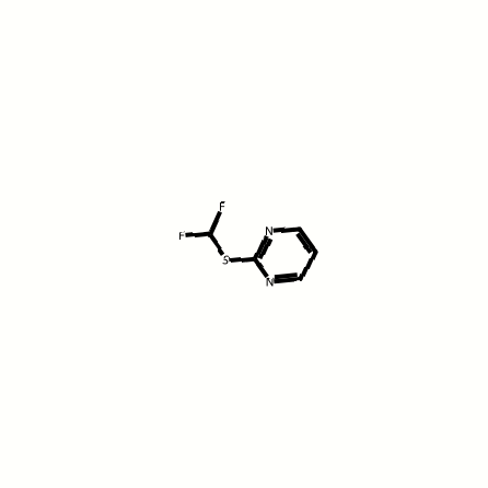 FC(F)Sc1ncccn1